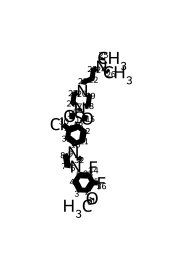 COc1ccc(N2C=CN(c3ccc(S(=O)(=O)N4CCN(CCCN(C)C)CC4)c(Cl)c3)C2)c(F)c1F